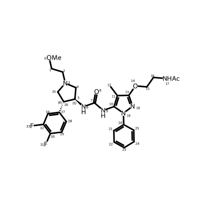 COCCN1C[C@@H](NC(=O)Nc2c(C)c(OCCNC(C)=O)nn2-c2ccccc2)[C@H](c2ccc(F)c(F)c2)C1